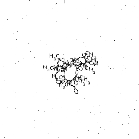 C#CCCN(C)[C@H]1C[C@@H](C)O[C@@H](O[C@@H]2[C@@H](C)[C@H](O[C@H]3C[C@@](C)(OC)[C@@H](O)[C@H](C)O3)[C@@H](C)C(=O)O[C@H](CC)[C@@]3(C)OC(=O)C[C@@H]3[C@@H](C)C(=O)[C@H](C)C[C@@]2(C)OC)[C@@H]1O